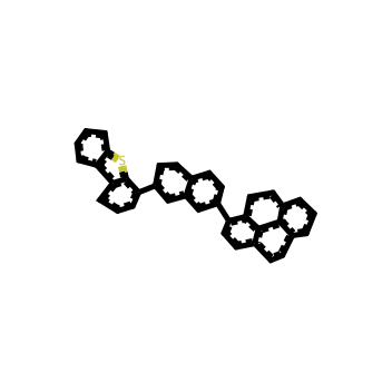 c1cc2ccc3ccc(-c4ccc5ccc(-c6cccc7c6sc6ccccc67)cc5c4)c4ccc(c1)c2c34